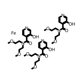 COCCN(CCOC)C(=O)c1ccncc1O.COCCN(CCOC)C(=O)c1ccncc1O.COCCN(CCOC)C(=O)c1ccncc1O.[Fe]